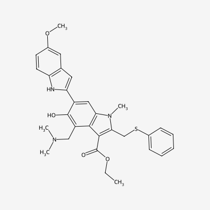 CCOC(=O)c1c(CSc2ccccc2)n(C)c2cc(-c3cc4cc(OC)ccc4[nH]3)c(O)c(CN(C)C)c12